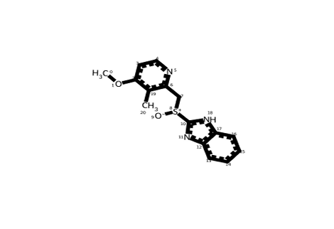 COc1ccnc(C[S+]([O-])c2nc3ccccc3[nH]2)c1C